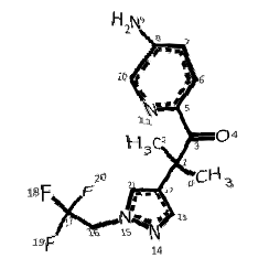 CC(C)(C(=O)c1ccc(N)cn1)c1cnn(CC(F)(F)F)c1